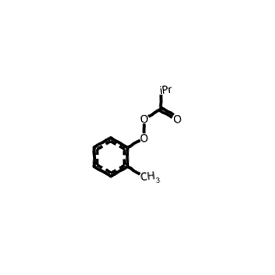 Cc1ccccc1OOC(=O)C(C)C